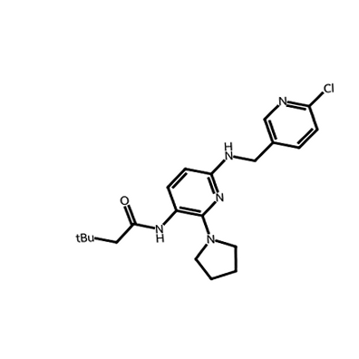 CC(C)(C)CC(=O)Nc1ccc(NCc2ccc(Cl)nc2)nc1N1CCCC1